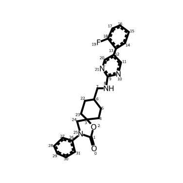 O=C1OC2(CCC(CNc3ncc(-c4ccccc4F)cn3)CC2)CN1c1ccccc1